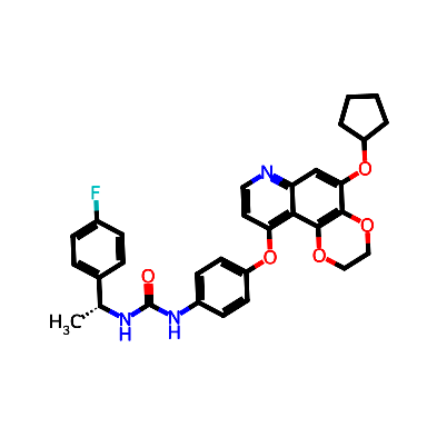 C[C@@H](NC(=O)Nc1ccc(Oc2ccnc3cc(OC4CCCC4)c4c(c23)OCCO4)cc1)c1ccc(F)cc1